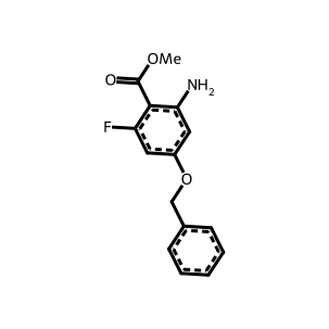 COC(=O)c1c(N)cc(OCc2ccccc2)cc1F